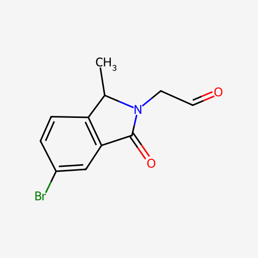 CC1c2ccc(Br)cc2C(=O)N1CC=O